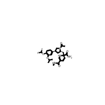 CNC(=O)C1=CNC(C[C@H]2C[C@@H](c3ccc(OC(F)F)c(OC(C)C)c3)CN2C(C)=O)(C(N)=O)C=C1